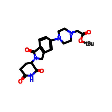 CC(C)(C)OC(=O)CN1CCN(c2ccc3c(c2)CN(C2CCC(=O)NC2=O)C3=O)CC1